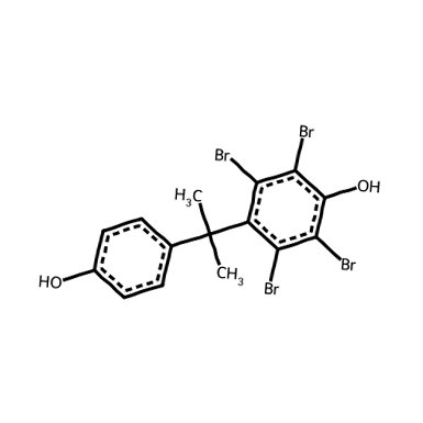 CC(C)(c1ccc(O)cc1)c1c(Br)c(Br)c(O)c(Br)c1Br